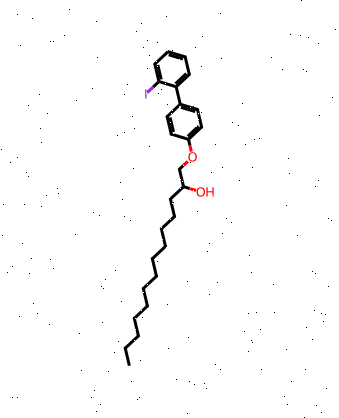 CCCCCCCCCCCCC(O)COc1ccc(-c2ccccc2I)cc1